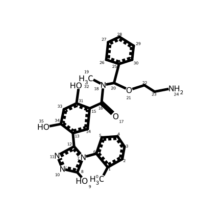 Cc1ccccc1-n1c(O)nnc1-c1cc(C(=O)N(C)C(OCCN)c2ccccc2)c(O)cc1O